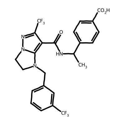 CC(NC(=O)c1c(C(F)(F)F)nn2c1N(Cc1cccc(C(F)(F)F)c1)CC2)c1ccc(C(=O)O)cc1